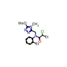 CCc1ccccc1N(Cc1nnc(OC)n1C)C(=O)C(Cl)CC